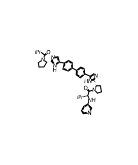 CC(C)C(=O)N1CCC[C@H]1c1ncc(-c2ccc(-c3ccc(-c4cnc([C@@H]5CCCN5C(=O)[C@@H](Nc5cccnc5)C(C)C)[nH]4)cc3)cc2)[nH]1